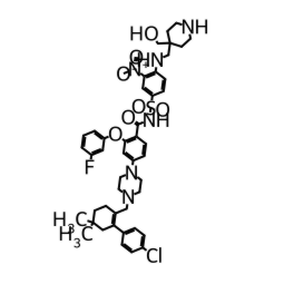 CC1(C)CCC(CN2CCN(c3ccc(C(=O)NS(=O)(=O)c4ccc(NCC5(CO)CCNCC5)c([N+](=O)[O-])c4)c(Oc4cccc(F)c4)c3)CC2)=C(c2ccc(Cl)cc2)C1